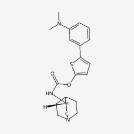 CN(C)c1cccc(-c2ccc(OC(=O)N[C@H]3CN4CCC3CC4)s2)c1